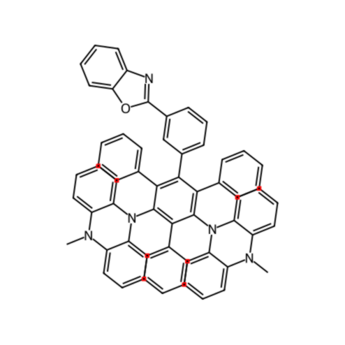 CN1c2ccccc2N(c2c(-c3ccccc3)c(-c3cccc(-c4nc5ccccc5o4)c3)c(-c3ccccc3)c(N3c4ccccc4N(C)c4ccccc43)c2-c2ccccc2)c2ccccc21